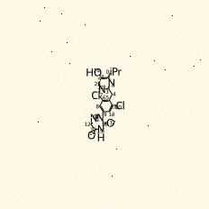 CC(C)c1nc(Cc2c(Cl)cc(-n3ncc(=O)[nH]c3=O)cc2Cl)ncc1O